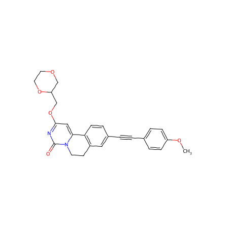 COc1ccc(C#Cc2ccc3c(c2)CCn2c-3cc(OCC3COCCO3)nc2=O)cc1